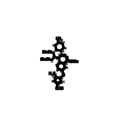 COCC(COC)N(c1ccc(Oc2sc(C=O)cc2C)cc1C(=O)OC)C(=O)[C@H]1CC[C@H](C)CC1